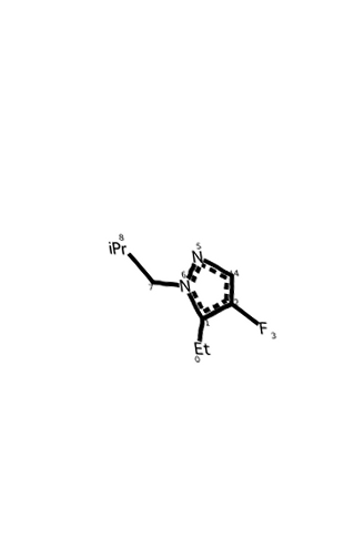 CCc1c(F)[c]nn1CC(C)C